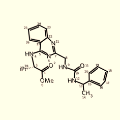 COC(=O)[C@@H](Nc1nc(CNC(=O)NC(C)c2ccccc2)nc2ccccc12)C(C)C